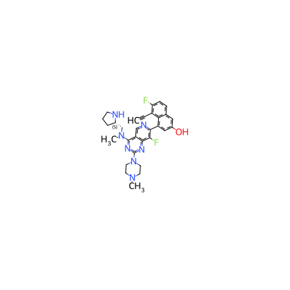 C#Cc1c(F)ccc2cc(O)cc(-c3ncc4c(N(C)C[C@@H]5CCCN5)nc(N5CCN(C)CC5)nc4c3F)c12